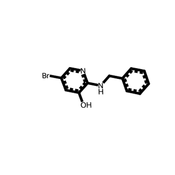 Oc1cc(Br)cnc1NCc1ccccc1